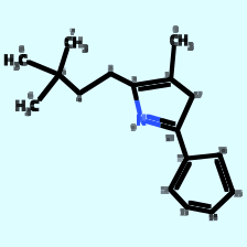 CC1=C(CCC(C)(C)C)N=C(c2ccccc2)C1